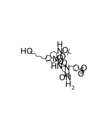 CC(C)(C)OC(=O)N[C@H]1CCc2cc(CCCCCO)cc3c2N(C1=O)[C@H](C(=O)NC(CCC(N)=O)C(=O)NCc1ccc(S(C)(=O)=O)cc1)C3